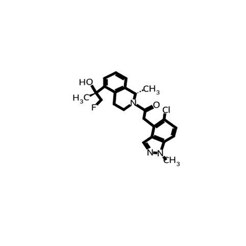 C[C@H]1c2cccc([C@@](C)(O)CF)c2CCN1C(=O)Cc1c(Cl)ccc2c1cnn2C